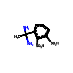 CC(N)(N)c1cccc(S(=O)(=O)O)c1S(=O)(=O)O